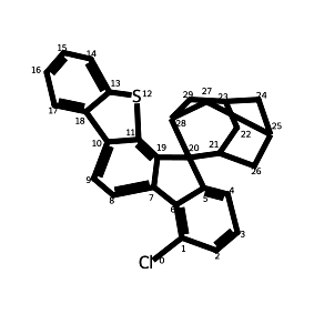 Clc1cccc2c1-c1ccc3c(sc4ccccc43)c1C21C2CC3CC(C2)CC1C3